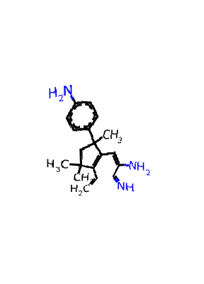 C=CC1=C(/C=C(/N)C=N)C(C)(c2ccc(N)cc2)CC1(C)C